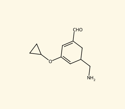 NCC1C=C(OC2CC2)C=C(C=O)C1